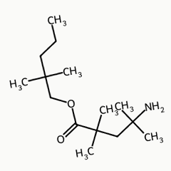 CCCC(C)(C)COC(=O)C(C)(C)CC(C)(C)N